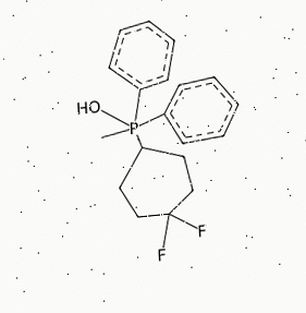 CP(O)(c1ccccc1)(c1ccccc1)C1CCC(F)(F)CC1